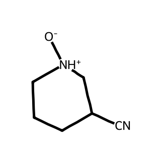 N#CC1CCC[NH+]([O-])C1